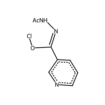 CC(=O)NN=C(OCl)c1cccnc1